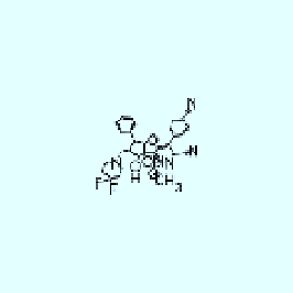 COc1nc(C#N)c(-c2ccc(C#N)cc2)c2c1C1(O)C(O)C(CN3CCC(F)(F)CC3)C(c3ccccc3)C1O2